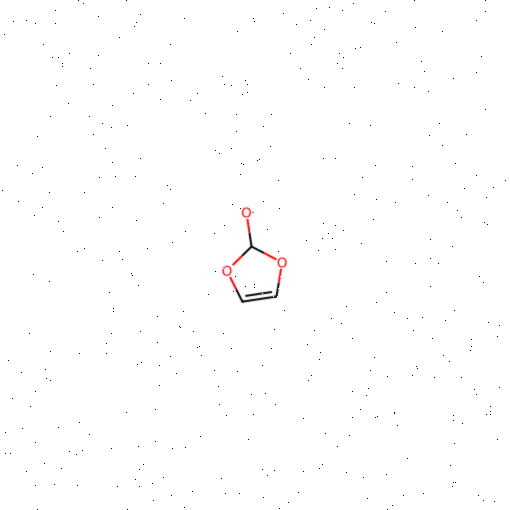 [O]C1OC=CO1